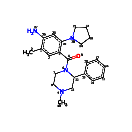 Cc1cc(C(=O)N2CCN(C)CC2c2ccccc2)c(N2CCCC2)cc1N